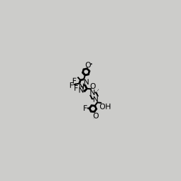 COc1ccc(-c2nc3c(C(=O)N4CCN(C(CO)c5cc(F)cc(OC)c5)C[C@H]4C)cnn3c(C(F)(F)F)c2C)cc1